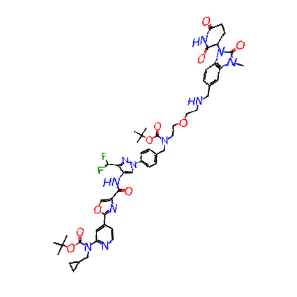 Cn1c(=O)n(C2CCC(=O)NC2=O)c2ccc(CNCCOCCN(Cc3ccc(-n4cc(NC(=O)c5coc(-c6ccnc(N(CC7CC7)C(=O)OC(C)(C)C)c6)n5)c(C(F)F)n4)cc3)C(=O)OC(C)(C)C)cc21